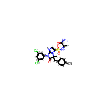 CC(NS(=O)(=O)c1cnc2n1C(C)(Cc1ccc(C#N)cc1)C(=O)N2c1cc(Cl)cc(Cl)c1)C(N)=O